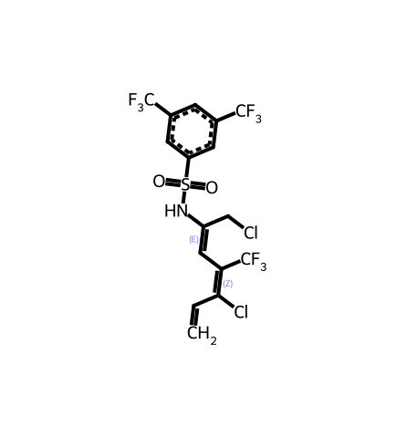 C=C/C(Cl)=C(\C=C(/CCl)NS(=O)(=O)c1cc(C(F)(F)F)cc(C(F)(F)F)c1)C(F)(F)F